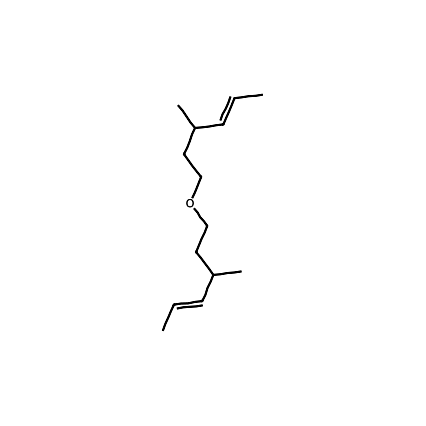 CC=CC(C)CCOCCC(C)C=CC